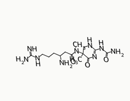 CN(C(=O)CC(N)CCCNC(=N)N)C1(C)CNC(NC(N)=O)=NC1=O